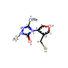 COc1nn(C)c(=O)n1-c1cocc1CBr